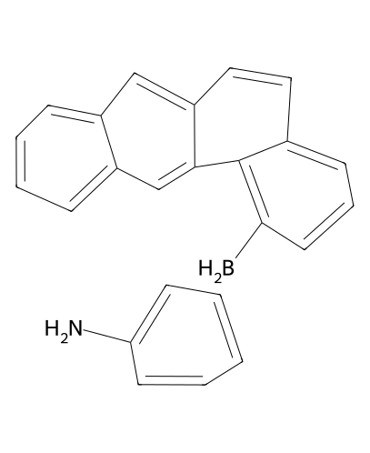 Bc1cccc2ccc3cc4ccccc4cc3c12.Nc1ccccc1